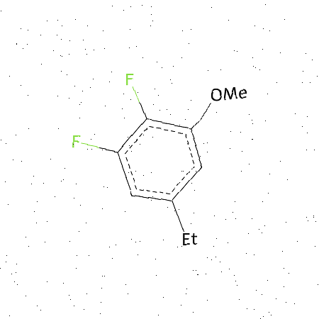 CCc1cc(F)c(F)c(OC)c1